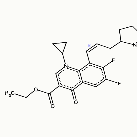 CCOC(=O)c1cn(C2CC2)c2c(/C=C\CC3CCCN3)c(F)c(F)cc2c1=O